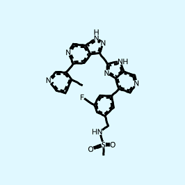 Cc1ccncc1-c1cc2c(-c3nc4c(-c5cc(F)cc(CNS(C)(=O)=O)c5)cncc4[nH]3)n[nH]c2cn1